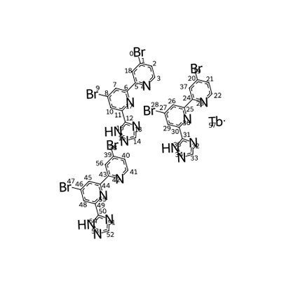 Brc1ccnc(-c2cc(Br)cc(-c3ncn[nH]3)n2)c1.Brc1ccnc(-c2cc(Br)cc(-c3ncn[nH]3)n2)c1.Brc1ccnc(-c2cc(Br)cc(-c3ncn[nH]3)n2)c1.[Tb]